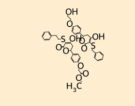 CCOC(=O)COc1ccc(C2CC(O)=C(SCCc3ccccc3)C(=O)O2)cc1.O=C1OC(c2ccc(OCCO)cc2)CC(O)=C1SCc1ccccc1